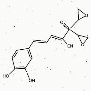 N#C/C(=C\C=C\c1ccc(O)c(O)c1)P(=O)(C1CO1)C1CO1